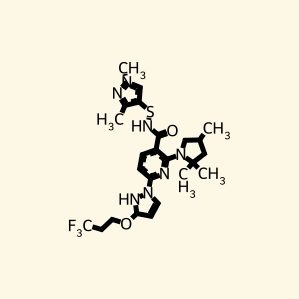 Cc1nn(C)cc1SNC(=O)c1ccc(N2C=CC(OCCC(F)(F)F)N2)nc1N1CC(C)CC1(C)C